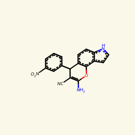 N#CC1=C(N)Oc2c(ccc3[nH]ccc23)C1c1cccc([N+](=O)[O-])c1